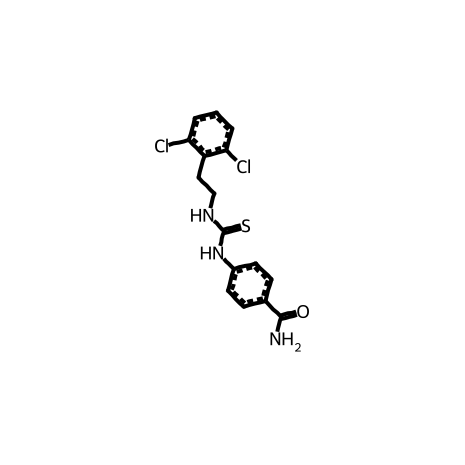 NC(=O)c1ccc(NC(=S)NCCc2c(Cl)cccc2Cl)cc1